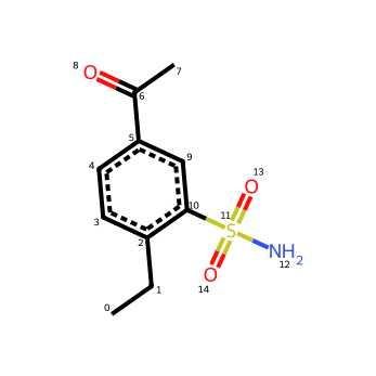 CCc1ccc(C(C)=O)cc1S(N)(=O)=O